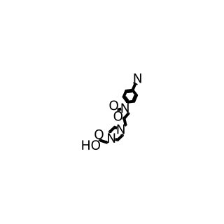 N#Cc1ccc(N2CC(CN3CCN(CC(=O)O)CC3)OC2=O)cc1